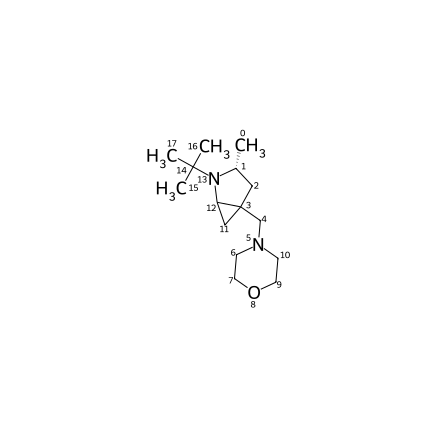 C[C@@H]1CC2(CN3CCOCC3)CC2N1C(C)(C)C